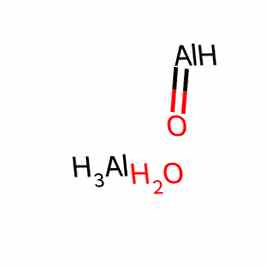 O.[AlH3].[O]=[AlH]